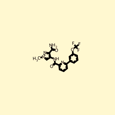 Cn1cc(NC(=O)c2cccc(-c3cccc(OC(F)(F)F)c3)n2)c(C(N)=O)n1